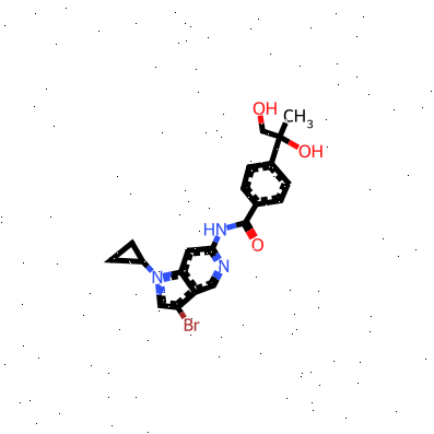 CC(O)(CO)c1ccc(C(=O)Nc2cc3c(cn2)c(Br)cn3C2CC2)cc1